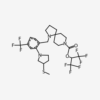 CSC1CCN(c2cc(C(F)(F)F)ccc2CN2CCCC23CCN(C(=O)OC(C(F)(F)F)C(F)(F)F)CC3)C1